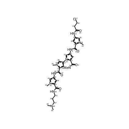 CNC(=O)c1cc(NC(=O)c2cc(NC(=O)CCCl)cn2C)cn1-c1cc(C(=O)Nc2cc(C(=O)NCCCN(C)C)n(C)c2)n(C)c1